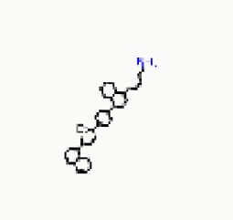 CCC(/C=C\C(C)c1cccc2c1CCC=C2)C1=CC=C(C2=C3C=CCCC3=C(C/C=C\CCN)CC2)CC1